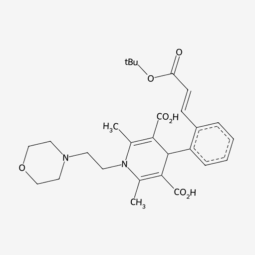 CC1=C(C(=O)O)C(c2ccccc2C=CC(=O)OC(C)(C)C)C(C(=O)O)=C(C)N1CCN1CCOCC1